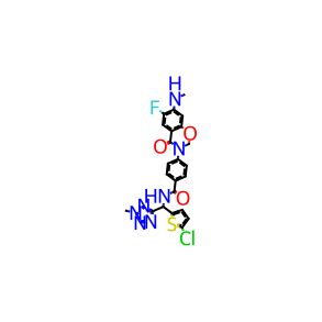 CNc1cc2c(cc1F)C(=O)N(c1ccc(C(=O)NC(c3nnn(C)n3)c3ccc(Cl)s3)cc1)CO2